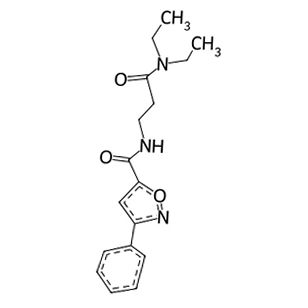 CCN(CC)C(=O)CCNC(=O)c1cc(-c2ccccc2)no1